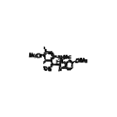 COc1ccc2nc(C(=S=O)c3c(NC(C)=O)cc(C)c(OC)c3C)[nH]c2c1